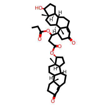 CCC(=O)OC(CC(=O)O[C@H]1CC[C@H]2[C@@H]3CCC4=CC(=O)CC[C@]4(C)[C@H]3CC[C@]12C)C1CC(=O)C=C2CC[C@H]3[C@@H]4CC[C@H](O)[C@@]4(C)CC[C@@H]3[C@]21C